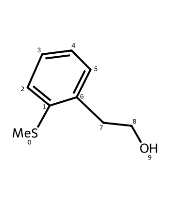 CSc1ccccc1CCO